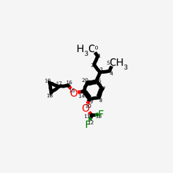 CCCC(CC)c1ccc(OC(F)F)c(OCC2CC2)c1